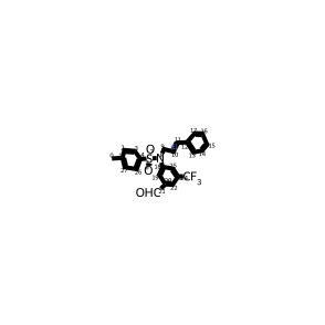 Cc1ccc(S(=O)(=O)N(C/C=C/c2ccccc2)c2cc(C=O)cc(C(F)(F)F)c2)cc1